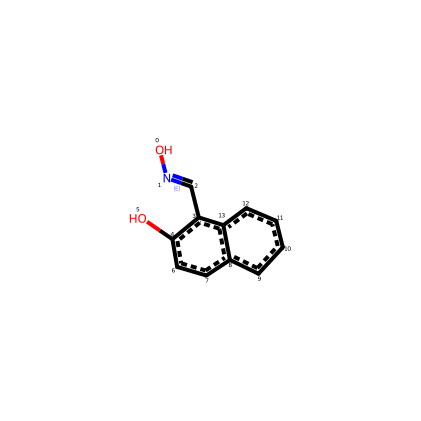 O/N=C/c1c(O)ccc2ccccc12